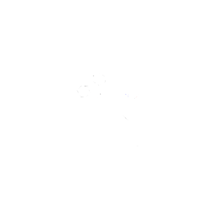 CCCCCCCCCCCCC/C=C/[C@H]1OC(=O)N[C@H]1CCC(C)(C)[Si](O)(c1ccccc1)c1ccccc1